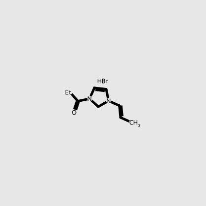 Br.CC=CN1C=CN(C(=O)CC)C1